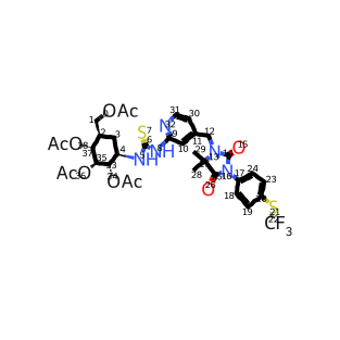 CC(=O)OC[C@H]1C[C@@H](NC(=S)Nc2cc(CN3C(=O)N(c4ccc(SC(F)(F)F)cc4)C(=O)C3(C)C)ccn2)[C@H](OC(C)=O)[C@@H](OC(C)=O)[C@@H]1OC(C)=O